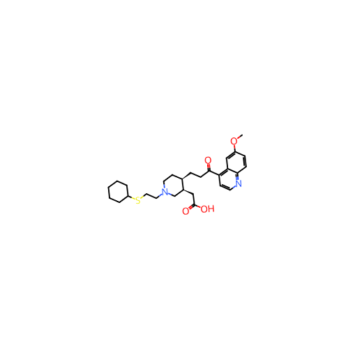 COc1ccc2nccc(C(=O)CC[C@@H]3CCN(CCSC4CCCCC4)C[C@@H]3CC(=O)O)c2c1